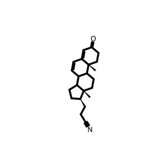 C[C@]12CCC(=O)C=C1C=CC1C2CC[C@@]2(C)C1CC[C@@H]2CCC#N